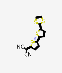 N#CC(C#N)=c1cc/c(=c2\ccc(=C3SC=CS3)s2)s1